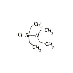 C=C[Si](Cl)(CC)N(CC)CC